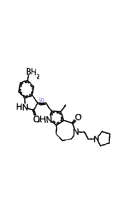 Bc1ccc2c(c1)/C(=C/c1[nH]c3c(c1C)C(=O)N(CCN1CCCC1)CCC3)C(=O)N2